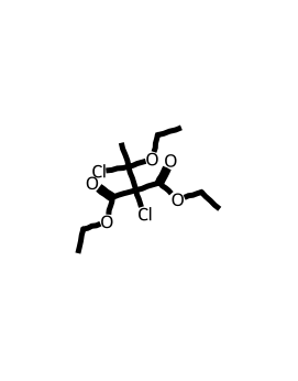 CCOC(=O)C(Cl)(C(=O)OCC)C(C)(Cl)OCC